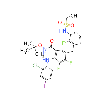 CCS(=O)(=O)Nc1cccc(Cc2cc(C(=O)NOC(C)(C)C)c(Nc3ccc(I)cc3Cl)c(F)c2F)c1F